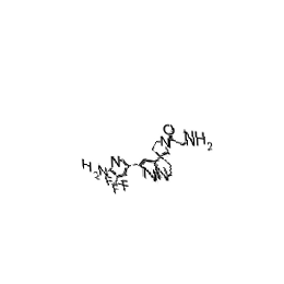 NCC(=O)N1CCC2(CCn3nc(-c4cnc(N)c(C(F)(F)F)c4)cc32)C1